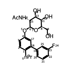 CCCc1ccc(O[C@@H]2O[C@H](CO)[C@H](O)[C@H](O)[C@H]2NC(C)=O)cc1-c1cccc(F)c1